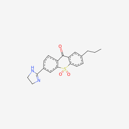 CCCc1ccc2c(c1)C(=O)c1ccc(C3=NCCN3)cc1S2(=O)=O